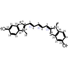 CN1/C(=C/C=C/C=C/c2sc3cc(O)ccc3[n+]2C)Sc2cc(O)ccc21